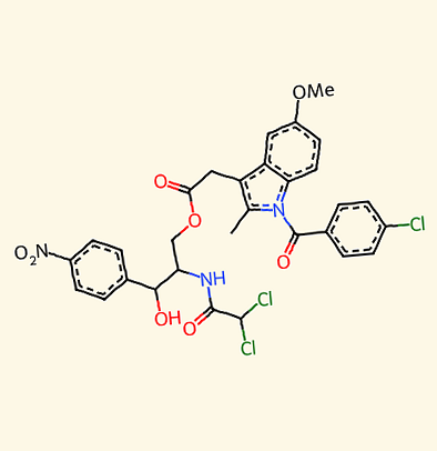 COc1ccc2c(c1)c(CC(=O)OCC(NC(=O)C(Cl)Cl)C(O)c1ccc([N+](=O)[O-])cc1)c(C)n2C(=O)c1ccc(Cl)cc1